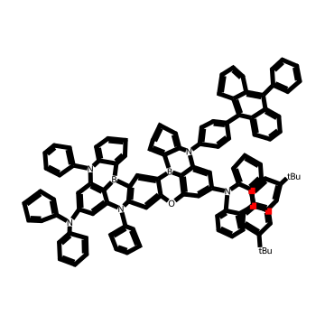 CC(C)(C)c1ccc(-c2ccccc2N(c2cc3c4c(c2)N(c2ccc(-c5c6ccccc6c(-c6ccccc6)c6ccccc56)cc2)c2ccccc2B4c2cc4c(cc2O3)N(c2ccccc2)c2cc(N(c3ccccc3)c3ccccc3)cc3c2B4c2ccccc2N3c2ccccc2)c2ccccc2-c2ccc(C(C)(C)C)cc2)cc1